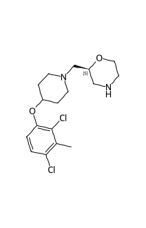 Cc1c(Cl)ccc(OC2CCN(C[C@@H]3CNCCO3)CC2)c1Cl